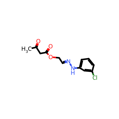 CC(=O)CC(=O)OCC=NNc1cccc(Cl)c1